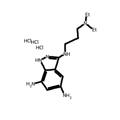 CCN(CC)CCCNc1n[nH]c2c(N)cc(N)cc12.Cl.Cl.Cl